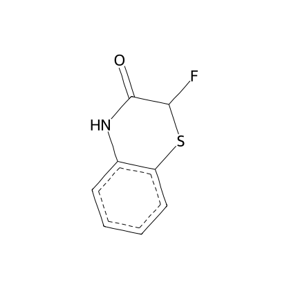 O=C1Nc2ccccc2SC1F